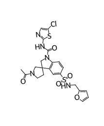 CC(=O)N1CCC2(C1)CN(C(=O)Nc1ncc(Cl)s1)c1ccc(S(=O)(=O)NCc3ccco3)cc12